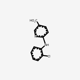 O=C(O)c1ccc(Nc2ccccc2Cl)nc1